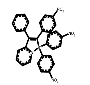 O=[N+]([O-])c1ccc(C2=C(c3ccccc3)c3cccc[n+]3[B-]2(c2ccc([N+](=O)[O-])cc2)c2ccc([N+](=O)[O-])cc2)cc1